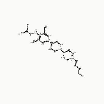 FCCCC[Si@H]1CC[C@H]([C@H]2CC[C@H](c3cc(F)c(OCC(F)F)c(F)c3)CC2)CC1